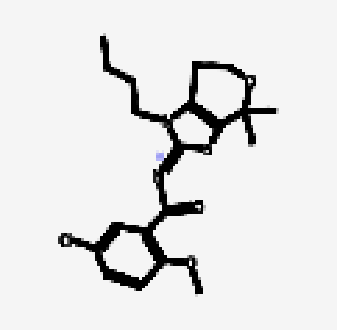 CCCCn1c2c(s/c1=N\C(=O)c1cc(Cl)ccc1OC)C(C)(C)OCC2